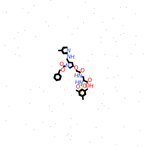 Cc1ccnc(NCC2CC(OCC(=O)NCC(NS(=O)(=O)c3c(C)cc(C)cc3C)C(=O)O)CN2C(=O)OCc2ccccc2)c1